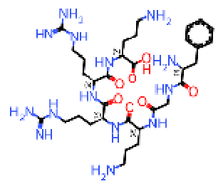 N=C(N)NCCC[C@H](NC(=O)[C@H](CCCNC(=N)N)NC(=O)[C@H](CCCN)NC(=O)CNC(=O)[C@@H](N)Cc1ccccc1)C(=O)N[C@@H](CCCN)C(=O)O